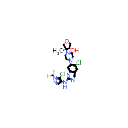 C[C@@]1(N2CCN(c3cc4nc(Nc5cnn(C(F)F)c5Cl)ncc4cc3Cl)CC2)COC[C@@H]1O